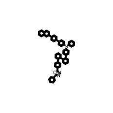 c1ccc(-c2nnc(-c3ccc(-c4ccccc4-c4ccccc4-c4ccc(N(c5ccccc5)c5ccc(-c6ccc(-c7ccc8ccccc8c7)cc6)cc5)cc4)cc3)o2)cc1